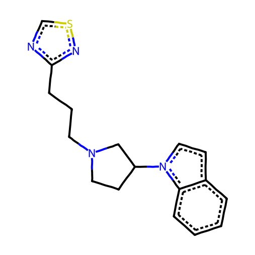 c1ccc2c(c1)ccn2C1CCN(CCCc2ncsn2)C1